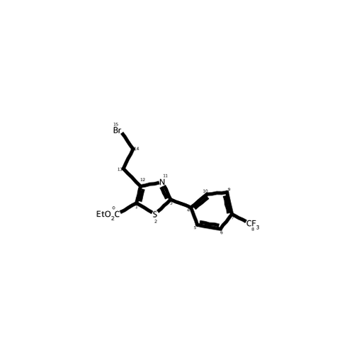 CCOC(=O)c1sc(-c2ccc(C(F)(F)F)cc2)nc1CCBr